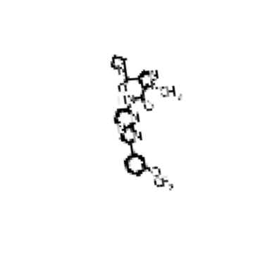 Cn1ncc(C(=O)N2CCC2)c1C(=O)Nc1ccn2cc(-c3cccc(OC(F)(F)F)c3)nc2n1